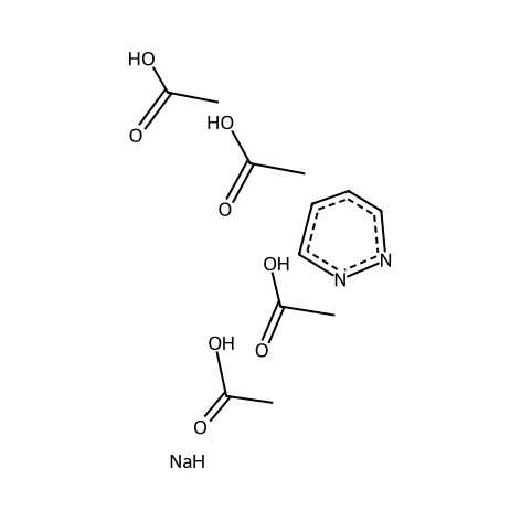 CC(=O)O.CC(=O)O.CC(=O)O.CC(=O)O.[NaH].c1ccnnc1